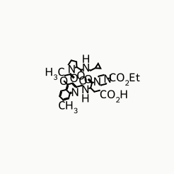 CCOC(=O)N1CCN(C(=O)C(CCC(=O)O)NC(=O)c2cc(O[C@H](C)C(=O)N3CCCC3C(=O)NCC3CC3)c3ccc(C)cc3n2)CC1